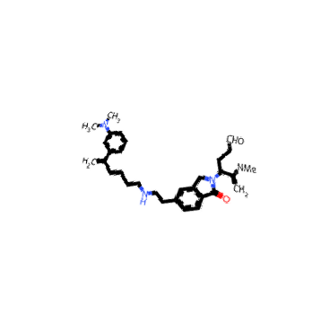 C=C(CCCCNCCc1ccc2c(c1)CN(C(CCC=O)C(=C)NC)C2=O)c1cccc(N(C)C)c1